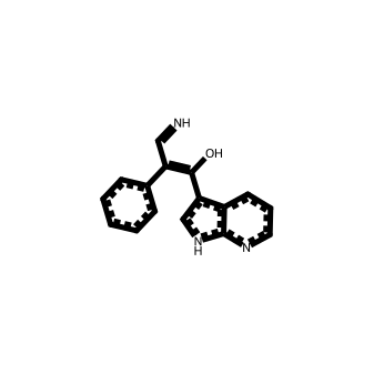 N=C/C(=C(\O)c1c[nH]c2ncccc12)c1ccccc1